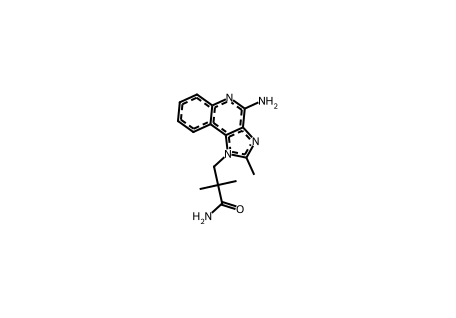 Cc1nc2c(N)nc3ccccc3c2n1CC(C)(C)C(N)=O